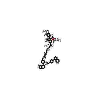 O=C(NCCOCCOCCOCc1ccc(-c2cccc3ccncc23)c(OCCc2ccc(-c3cccc4ccncc34)cc2)c1)c1ccc2c(c1)C(=O)OC21c2cc(F)c(O)cc2Oc2cc(O)c(F)cc21